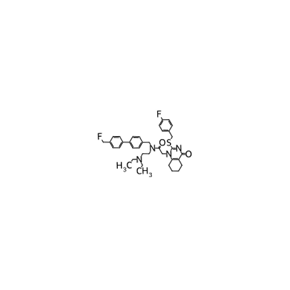 CCN(CC)CCN(Cc1ccc(-c2ccc(CF)cc2)cc1)C(=O)Cn1c(SCc2ccc(F)cc2)nc(=O)c2c1CCCC2